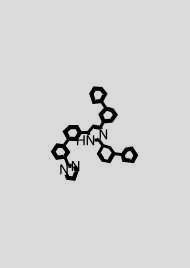 C1=CC(C2=NC(c3cccc(-c4ccccc4)c3)=CC(c3cccc(-c4cccc(-c5ncccn5)c4)c3)N2)CC(c2ccccc2)=C1